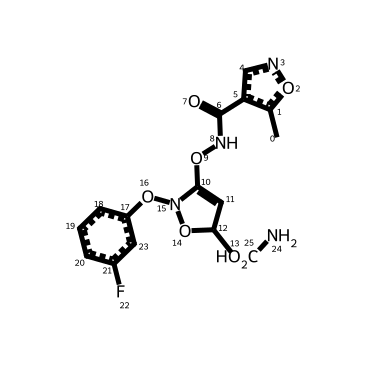 Cc1oncc1C(=O)NOC1=CC(C)ON1Oc1cccc(F)c1.NC(=O)O